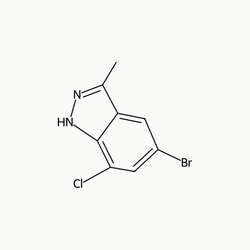 Cc1n[nH]c2c(Cl)cc(Br)cc12